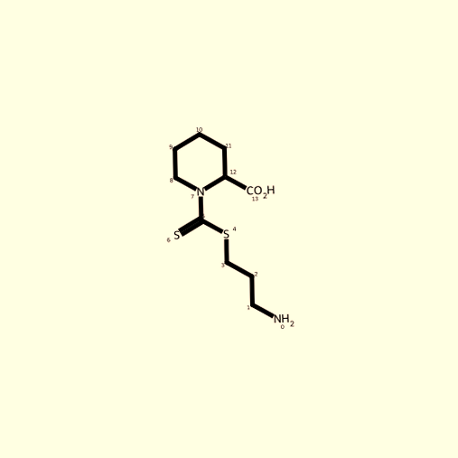 NCCCSC(=S)N1CCCCC1C(=O)O